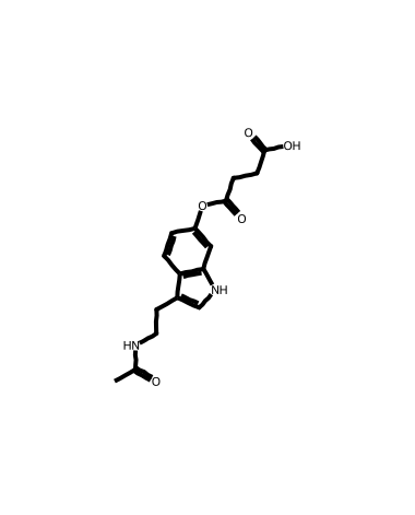 CC(=O)NCCc1c[nH]c2cc(OC(=O)CCC(=O)O)ccc12